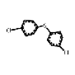 Clc1ccc(Sc2ccc(Cl)cc2)cc1